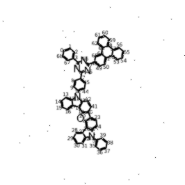 c1ccc(-c2nc(-c3ccc(-n4c5ccccc5c5c6oc7c(ccc8c7c7ccccc7n8-c7ccccc7)c6ccc54)cc3)nc(-c3ccc4c5ccccc5c5ccccc5c4c3)n2)cc1